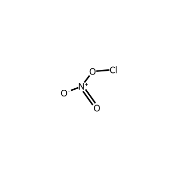 O=[N+]([O-])OCl